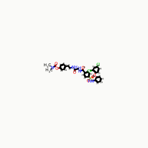 CN(C)C(=O)Oc1ccc(CCNC(=O)CNC(=O)c2ccc(S(=O)(=O)Nc3ccccc3Oc3ccc(Cl)cc3Cl)cc2)cc1